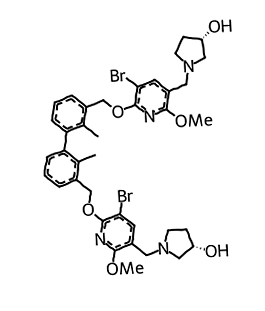 COc1nc(OCc2cccc(-c3cccc(COc4nc(OC)c(CN5CC[C@H](O)C5)cc4Br)c3C)c2C)c(Br)cc1CN1CC[C@H](O)C1